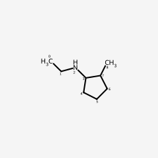 CCNC1CCCC1C